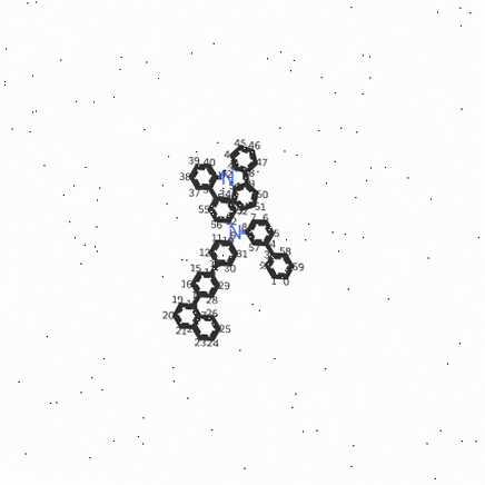 c1ccc(-c2cccc(N(c3ccc(-c4ccc(-c5cccc6ccccc56)cc4)cc3)c3ccc(-c4ccccc4-n4c5ccccc5c5ccccc54)cc3)c2)cc1